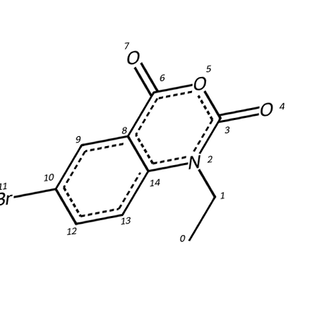 CCn1c(=O)oc(=O)c2cc(Br)ccc21